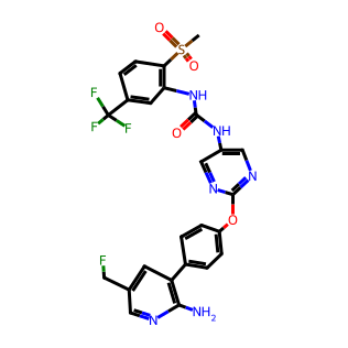 CS(=O)(=O)c1ccc(C(F)(F)F)cc1NC(=O)Nc1cnc(Oc2ccc(-c3cc(CF)cnc3N)cc2)nc1